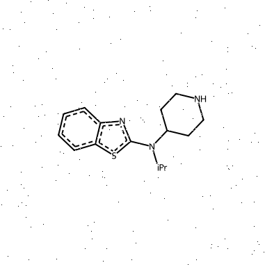 CC(C)N(c1nc2ccccc2s1)C1CCNCC1